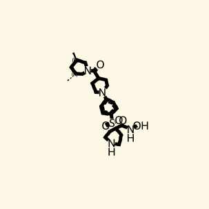 C[C@@H]1C[C@@H](C)CN(C(=O)C2CCN(c3ccc(S(=O)(=O)C4(C(=O)NO)CCNCC4)cc3)CC2)C1